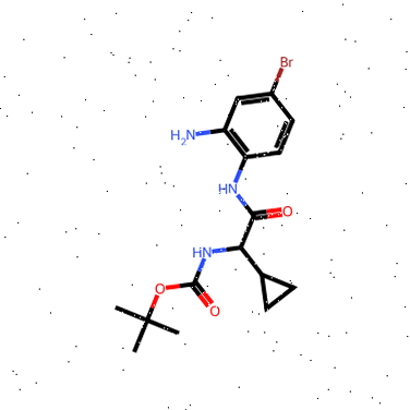 CC(C)(C)OC(=O)NC(C(=O)Nc1ccc(Br)cc1N)C1CC1